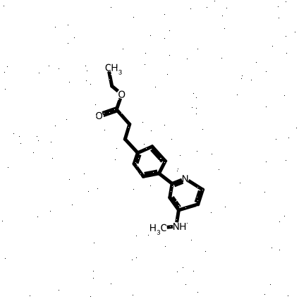 CCOC(=O)CCc1ccc(-c2cc(NC)ccn2)cc1